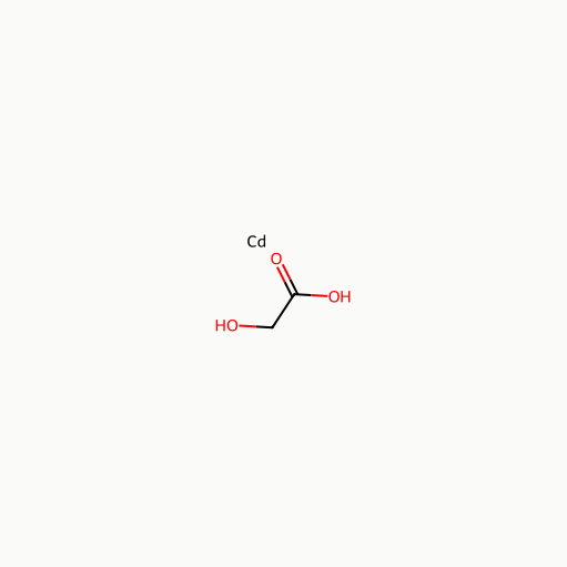 O=C(O)CO.[Cd]